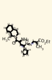 CCOC(=O)[C@@H](C)/C=N/N/C(=C\C(=N)C(=O)N1CCc2ccccc2[C@H]1C)n1cccn1